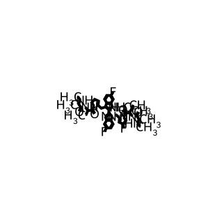 CCC(NC(=O)C(C)NC)C(=O)N1CCCC1Cc1c(-c2nc3cc(F)ccc3n2CC2CC(F)CN2C(=O)C(NC(=O)C(C)NC)C(C)(C)C)[nH]c2cc(F)ccc12